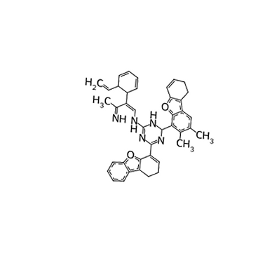 C=CC1C=CC=CC1/C(=C/NC1=NC(C2=CCCc3c2oc2ccccc32)=NC(c2c(C)c(C)cc3c4c(oc23)C=CCC4)N1)C(C)=N